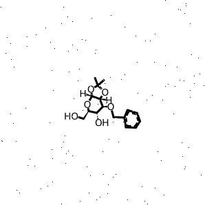 CC1(C)O[C@H]2O[C@H](CO)[C@@H](O)[C@H](OCc3ccccc3)[C@H]2O1